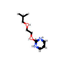 CC(C)COCCOc1nc[c]cn1